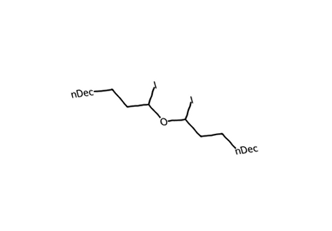 CCCCCCCCCCCCC(I)OC(I)CCCCCCCCCCCC